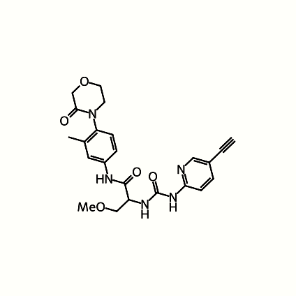 C#Cc1ccc(NC(=O)NC(COC)C(=O)Nc2ccc(N3CCOCC3=O)c(C)c2)nc1